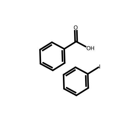 Ic1ccccc1.O=C(O)c1ccccc1